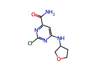 NC(=O)c1cc(NC2CCOC2)nc(Cl)n1